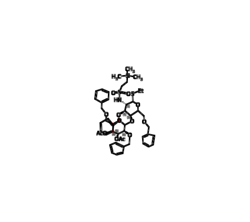 CCSC1OC(COCc2ccccc2)[C@@H](OC2OC(COCc3ccccc3)[C@H](OC(C)=O)[C@H](OC(C)=O)[C@@H]2OCc2ccccc2)[C@@H](OCc2ccccc2)[C@@H]1NS(=O)(=O)CC[Si](C)(C)C